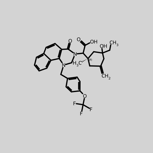 C=C1CC(O)(CC)C[C@](C)(C(C(=O)O)N2CN(Cc3ccc(OC(F)(F)F)cc3)c3c(ccc4ccccc34)C2=O)C1